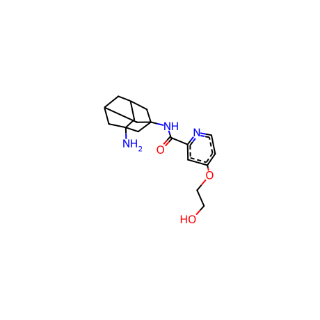 NC12CC3CC(C1)CC(NC(=O)c1cc(OCCO)ccn1)(C3)C2